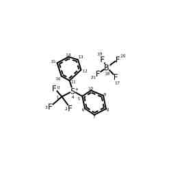 FC(F)(F)[S+](c1ccccc1)c1ccccc1.F[B-](F)(F)F